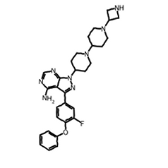 Nc1ncnc2c1c(-c1ccc(Oc3ccccc3)c(F)c1)nn2C1CCN(C2CCN(C3CNC3)CC2)CC1